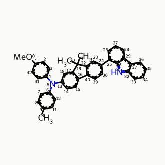 COc1ccc(N(c2ccc(C)cc2)c2ccc3c(c2)C(C)(C)c2cc(-c4cccc5c4[nH]c4ccccc45)ccc2-3)cc1